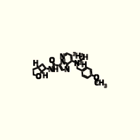 [2H]C([2H])([2H])N(Cc1ccc(OC)cc1)c1ccnn2c(C(=O)N[C@@H]3C[C@H]4CCO[C@H]43)cnc12